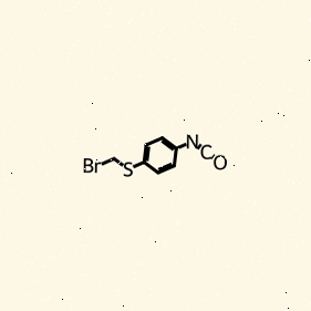 O=C=Nc1ccc(SCBr)cc1